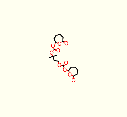 CC(C)(CCOC(=O)OC1CCCCC(=O)O1)OC(=O)OC1CCCCC(=O)O1